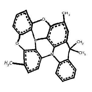 Cc1ccc2c3c1Oc1cccc4c1B3c1c(c(C)cc3c1N2c1ccccc1C3(C)C)O4